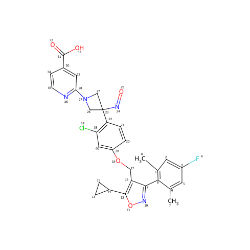 Cc1cc(F)cc(C)c1-c1noc(C2CC2)c1COc1ccc(C2(N=O)CN(c3cc(C(=O)O)ccn3)C2)c(Cl)c1